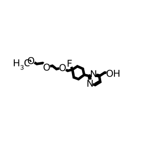 COCCOCCOCC1(F)CCC(c2nccc(CO)n2)CC1